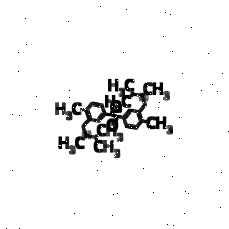 Cc1ccc(S(=O)(=O)c2ccc(C)c(C[C@H](C)C(C)C)c2)cc1C[C@H](C)C(C)C